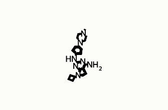 CN1CCN(c2ccc(Nc3nc(N)c4ccn(C5CCC5)c4n3)cc2)CC1